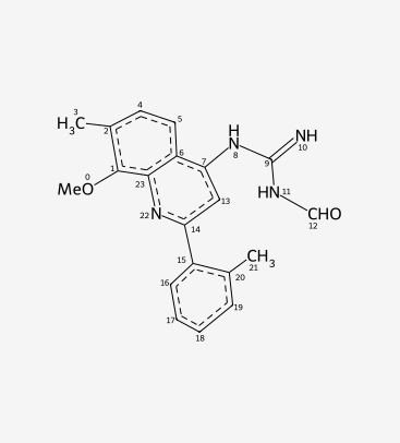 COc1c(C)ccc2c(NC(=N)NC=O)cc(-c3ccccc3C)nc12